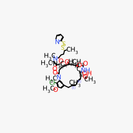 COc1cc2cc(c1Cl)N(C)C(=O)C[C@H](CC(=O)[C@H](C)N(C)C(=O)CCC(C)SSc1ccccn1)[C@]1(C)O[C@H]1[C@H](C)[C@@H]1C[C@@](O)(NC(=O)O1)[C@H](OC)/C=C/C=C(\C)C2